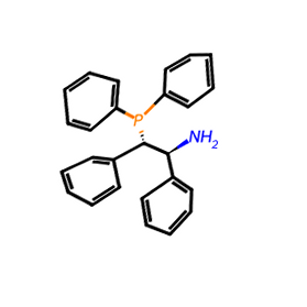 N[C@@H](c1ccccc1)[C@H](c1ccccc1)P(c1ccccc1)c1ccccc1